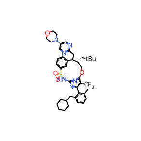 Cc1cccc(CC2CCCCC2)c1-c1nc2nc(c1C(F)(F)F)OC[C@@H](CC(C)(C)C)C(Cc1ncc(N3CCOCC3)cn1)c1cccc(c1)S(=O)(=O)N2